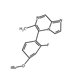 Cc1ncc2nccn2c1-c1ccc(OC(C)(C)C)cc1F